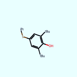 [CH2]C(C)Sc1cc(C(C)(C)C)c(O)c(C(C)(C)C)c1